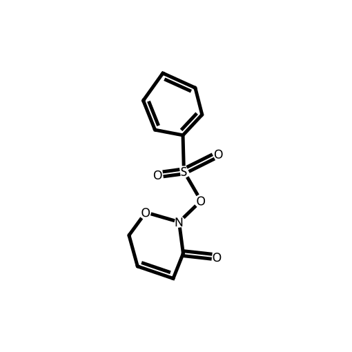 O=C1C=CCON1OS(=O)(=O)c1ccccc1